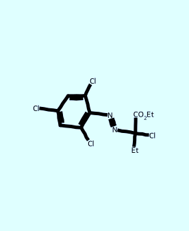 CCOC(=O)C(Cl)(CC)N=Nc1c(Cl)cc(Cl)cc1Cl